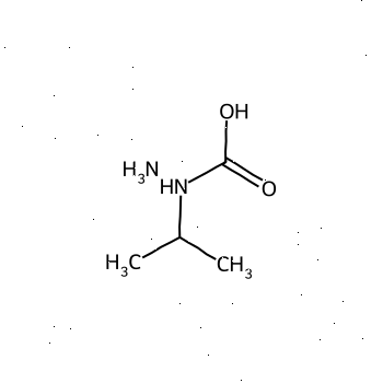 CC(C)NC(=O)O.N